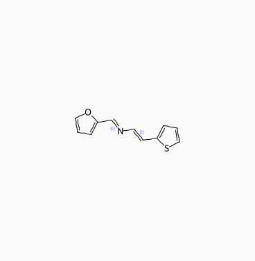 C(=C\c1cccs1)/N=C/c1ccco1